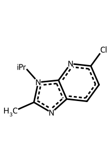 Cc1nc2ccc(Cl)nc2n1C(C)C